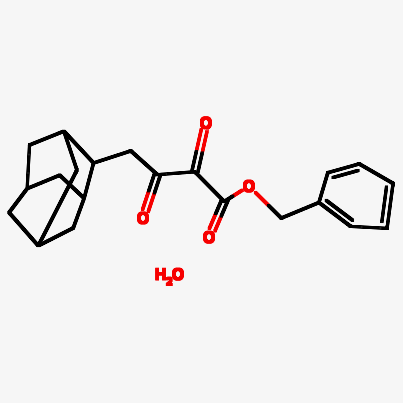 O.O=C(CC1C2CC3CC(C2)CC1C3)C(=O)C(=O)OCc1ccccc1